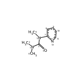 CN(C)C(=O)N(C)c1ccccn1